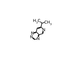 CC(C)c1cc2nncnc2cn1